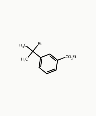 CCOC(=O)c1cccc(C(C)(C)CC)c1